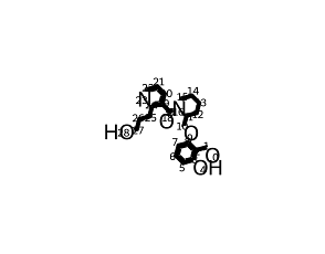 O=Cc1c(O)cccc1OCC1CCCCN1C(=O)c1cccnc1CCCO